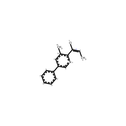 C/C=C(/Cl)c1ncc(-c2ccccc2)cc1C